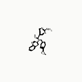 COc1ccc(CN(C(=O)c2cnc(N)nc2)c2cnc3ccccc3c2)cc1